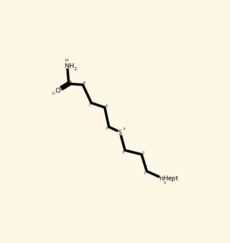 CCCCCCCCCCSCCCCC(N)=O